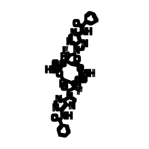 O=C(Nc1ncnc2c1ncn2[C@@H]1O[C@@H]2CO[P@@](=O)(S)O[C@@H]3/C(=C/O[P@@](=O)(S)O[C@H]2[C@H]1F)O[C@@H](n1cnc2c(NC(=O)c4ccccc4)ncnc21)[C@@H]3F)c1ccccc1